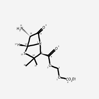 CCOC(=O)OCOC(=O)[C@@H]1N2C(=O)[C@@H](N)[C@H]2SC1(C)C